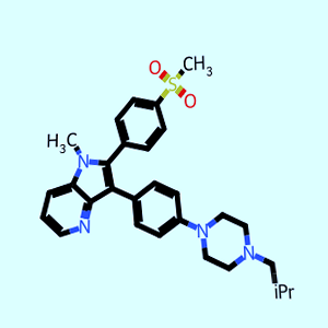 CC(C)CN1CCN(c2ccc(-c3c(-c4ccc(S(C)(=O)=O)cc4)n(C)c4cccnc34)cc2)CC1